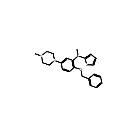 CN1CCN(c2ccc(OCc3ccccc3)c(N(C)c3ccco3)c2)CC1